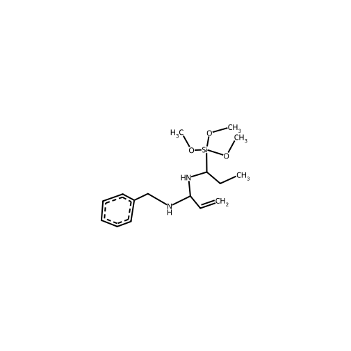 C=CC(NCc1ccccc1)NC(CC)[Si](OC)(OC)OC